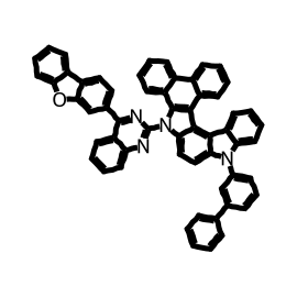 c1ccc(-c2cccc(-n3c4ccccc4c4c5c6c7ccccc7c7ccccc7c6n(-c6nc(-c7ccc8c(c7)oc7ccccc78)c7ccccc7n6)c5ccc43)c2)cc1